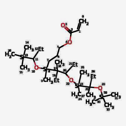 C=CC(=O)OCCC[Si](C)(OC(CC)[Si](C)(C)C)C(C)(CC)C(CC)O[Si](C)(C)C(C)(CC)O[Si](C)(C)C